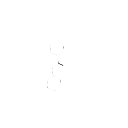 O=C(O)C1CN(C(=O)CC2CCCCC2)CCO1